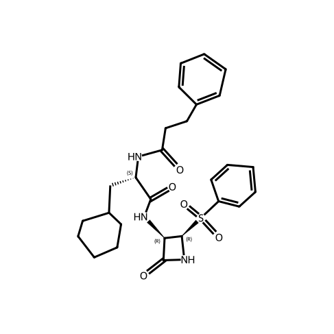 O=C(CCc1ccccc1)N[C@@H](CC1CCCCC1)C(=O)N[C@@H]1C(=O)N[C@@H]1S(=O)(=O)c1ccccc1